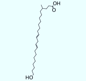 CC(CCCCCCC/C=C/C/C=C/CCCCCCCCO)CCC(=O)O